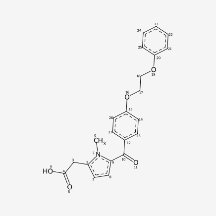 Cn1c(CC(=O)O)ccc1C(=O)c1ccc(OCCOc2ccccc2)cc1